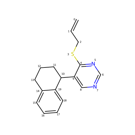 C=CCSc1ncncc1C1CCCc2ccccc21